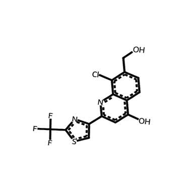 OCc1ccc2c(O)cc(-c3csc(C(F)(F)F)n3)nc2c1Cl